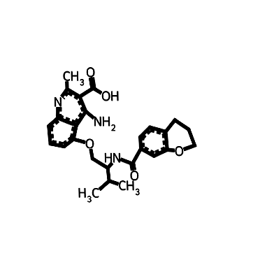 Cc1nc2cccc(OCC(NC(=O)c3ccc4c(c3)OCCC4)C(C)C)c2c(N)c1C(=O)O